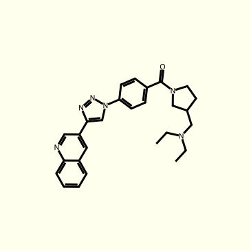 CCN(CC)CC1CCN(C(=O)c2ccc(-n3cc(-c4cnc5ccccc5c4)nn3)cc2)C1